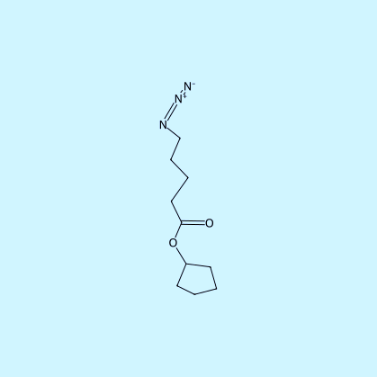 [N-]=[N+]=NCCCCC(=O)OC1CCCC1